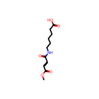 COC(=O)C=CC(=O)NCCCCCC(=O)O